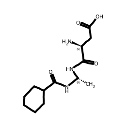 C[C@H](NC(=O)C1CCCCC1)NC(=O)[C@@H](N)CC(=O)O